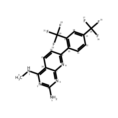 CNc1nc(N)nc2nc(-c3ccc(C(F)(F)F)cc3C(F)(F)F)ccc12